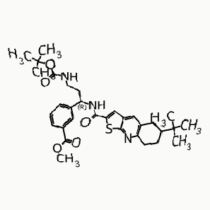 COC(=O)c1cccc([C@@H](CCNC(=O)OC(C)(C)C)NC(=O)c2cc3cc4c(nc3s2)CCC(C(C)(C)C)C4)c1